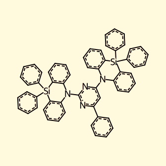 c1ccc(-c2cc(N3c4ccccc4[Si](c4ccccc4)(c4ccccc4)c4ccccc43)nc(N3c4ccccc4[Si](c4ccccc4)(c4ccccc4)c4ccccc43)n2)cc1